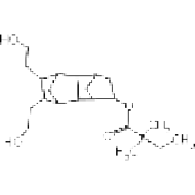 CCC(C)(C)C(=O)OC1CC2CC1C1C3CC(C(CCO)C3CCO)C21